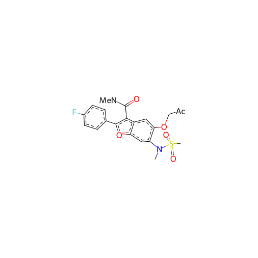 CNC(=O)c1c(-c2ccc(F)cc2)oc2cc(N(C)S(C)(=O)=O)c(OCC(C)=O)cc12